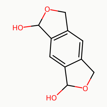 OC1OCc2cc3c(cc21)C(O)OC3